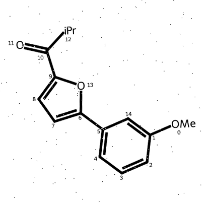 COc1cccc(-c2ccc(C(=O)C(C)C)o2)c1